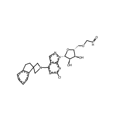 O=[PH]COC[C@H]1O[C@@H](n2ncc3c(N4CC5(CCc6ccccc65)C4)nc(Cl)nc32)[C@H](O)[C@@H]1O